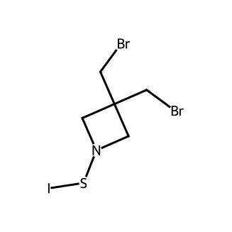 BrCC1(CBr)CN(SI)C1